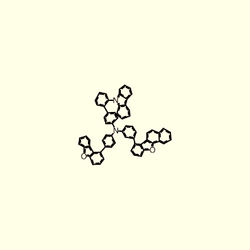 c1cc(-c2cccc3oc4c5ccccc5ccc4c23)cc(N(c2ccc(-c3ccccc3-n3c4ccccc4c4ccccc43)cc2)c2ccc(-c3cccc4oc5ccccc5c34)cc2)c1